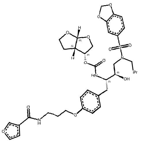 CC(C)CN(C[C@@H](O)[C@H](Cc1ccc(OCCCNC(=O)c2ccoc2)cc1)NC(=O)O[C@H]1CO[C@H]2OCC[C@H]21)S(=O)(=O)c1ccc2c(c1)OCO2